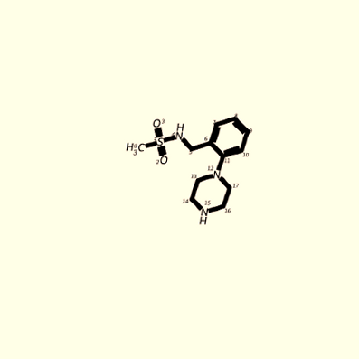 CS(=O)(=O)NCc1ccccc1N1CCNCC1